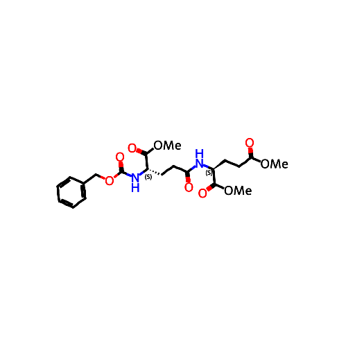 COC(=O)CC[C@H](NC(=O)CC[C@H](NC(=O)OCc1ccccc1)C(=O)OC)C(=O)OC